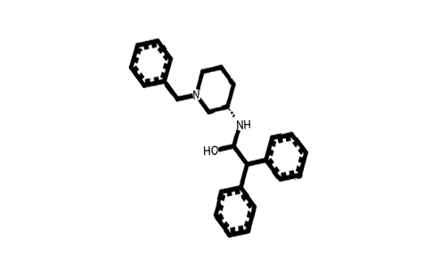 OC(N[C@H]1CCCN(Cc2ccccc2)C1)C(c1ccccc1)c1ccccc1